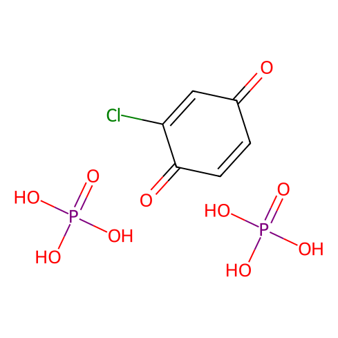 O=C1C=CC(=O)C(Cl)=C1.O=P(O)(O)O.O=P(O)(O)O